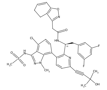 Cn1nc(NS(C)(=O)=O)c2c(Cl)ccc(-c3ccc(C#CC(C)(C)O)nc3[C@H](Cc3cc(F)cc(F)c3)NC(=O)Cc3noc4c3CCC=C4)c21